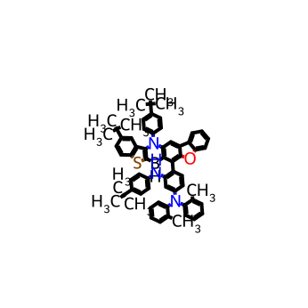 Cc1ccccc1N(c1ccc(-c2c3c(cc4c2oc2ccccc24)N(c2ccc(C(C)(C)C)cc2)c2c(sc4ccc(C(C)(C)C)cc24)B3)c(Nc2ccc(C(C)(C)C)cc2)c1)c1ccccc1C